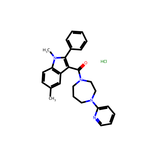 Cc1ccc2c(c1)c(C(=O)N1CCCN(c3ccccn3)CC1)c(-c1ccccc1)n2C.Cl